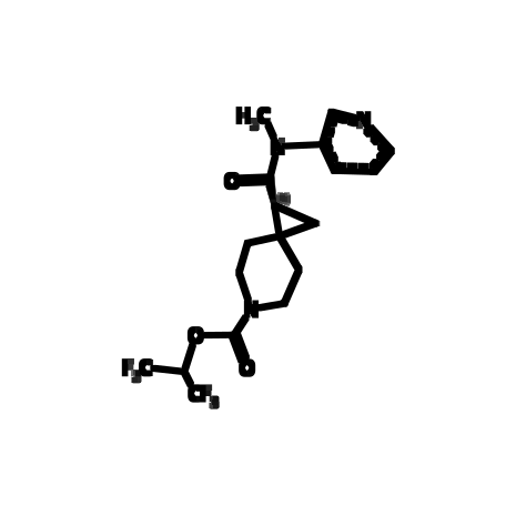 CN(C(=O)[C@H]1CC12CCN(C(=O)OC(C(F)(F)F)C(F)(F)F)CC2)c1cccnc1